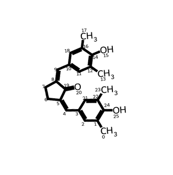 Cc1cc(C=C2CCC(=Cc3cc(C)c(O)c(C)c3)C2=O)cc(C)c1O